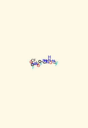 O=C(CN1CCC(F)(F)CC1)Nc1cn2nc(-c3cccc(C(=O)NCc4cc(OC(F)(F)F)ccc4F)c3F)ccc2n1